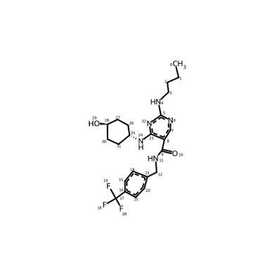 CCCCNc1ncc(C(=O)NCc2ccc(C(F)(F)F)cc2)c(N[C@H]2CC[C@H](O)CC2)n1